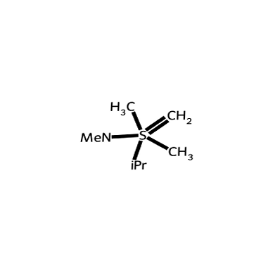 C=S(C)(C)(NC)C(C)C